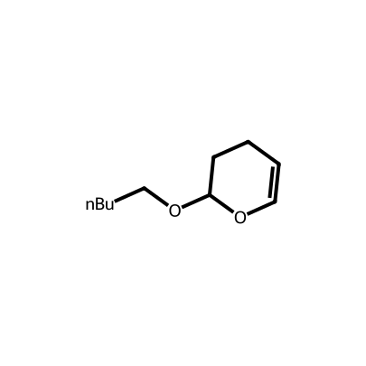 CCCCCOC1CCC=CO1